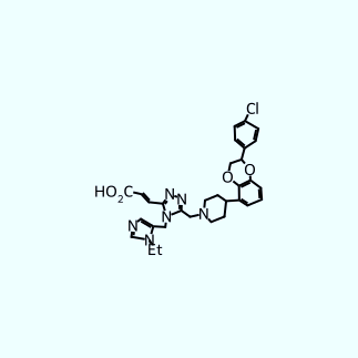 CCn1cncc1Cn1c(C=CC(=O)O)nnc1CN1CCC(c2cccc3c2OCC(c2ccc(Cl)cc2)O3)CC1